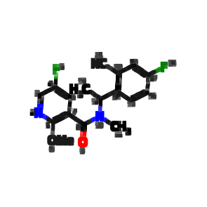 COc1ncc(F)cc1C(=O)N(C)C(C)c1ccc(F)cc1C#N